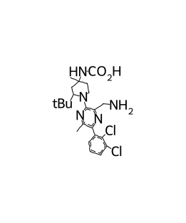 Cc1nc(N2CCC(C)(NC(=O)O)CC2C(C)(C)C)c(CN)nc1-c1cccc(Cl)c1Cl